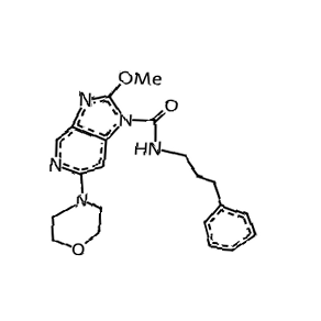 COc1nc2cnc(N3CCOCC3)cc2n1C(=O)NCCCc1ccccc1